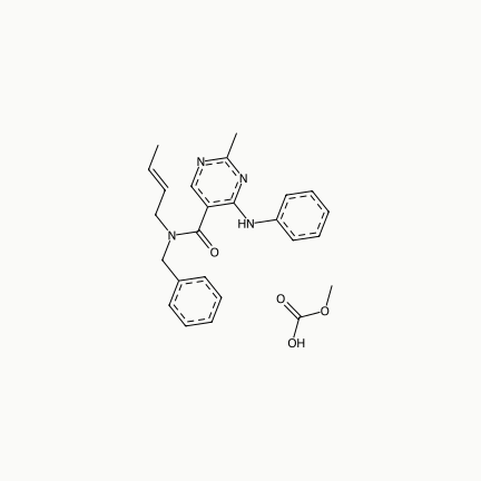 C/C=C/CN(Cc1ccccc1)C(=O)c1cnc(C)nc1Nc1ccccc1.COC(=O)O